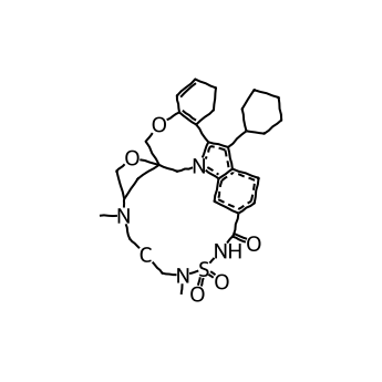 CN1CCCN(C)S(=O)(=O)NC(=O)c2ccc3c(C4CCCCC4)c4n(c3c2)CC2(COC3=C4CCC=C3)CC1CO2